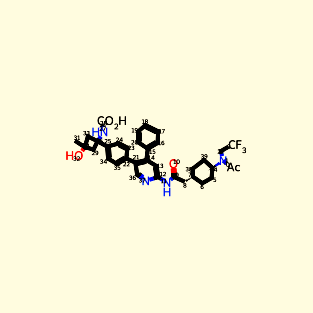 CC(=O)N(CC(F)(F)F)[C@H]1CC[C@H](CC(=O)Nc2cc(-c3ccccc3)c(-c3ccc(C4(NC(=O)O)CC(C)(O)C4)cc3)cn2)CC1